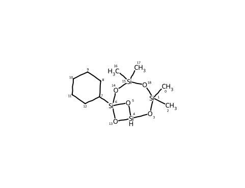 C[Si]1(C)O[SiH]2O[Si](C3CCCCC3)(O2)O[Si](C)(C)O1